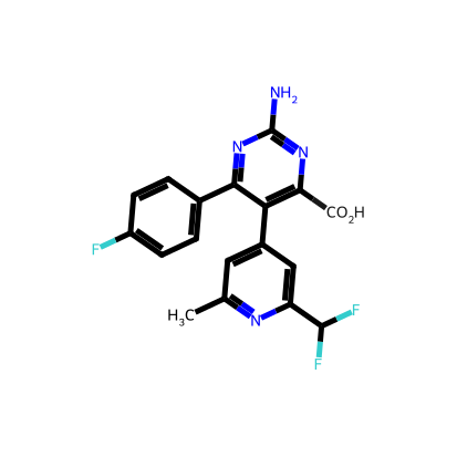 Cc1cc(-c2c(C(=O)O)nc(N)nc2-c2ccc(F)cc2)cc(C(F)F)n1